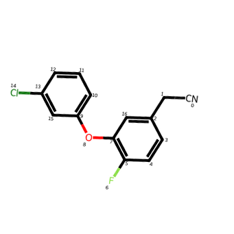 N#CCc1ccc(F)c(Oc2cccc(Cl)c2)c1